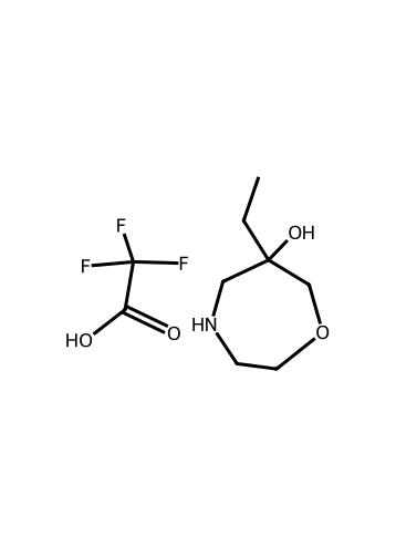 CCC1(O)CNCCOC1.O=C(O)C(F)(F)F